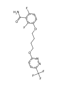 NC(=O)c1c(F)ccc(OCCCCOc2ccc(C(F)(F)F)nn2)c1F